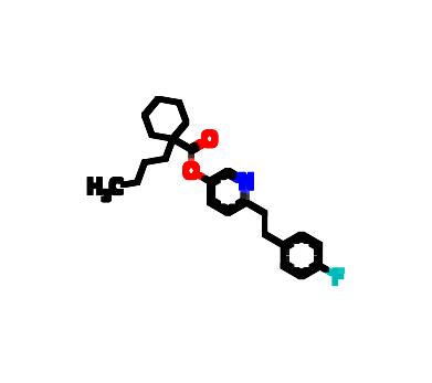 CCCCC1(C(=O)Oc2ccc(CCc3ccc(F)cc3)nc2)CCCCC1